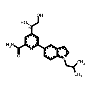 CC(C)Cn1ccc2cc(-c3cc([C@H](O)CO)cc(C(N)=O)n3)ccc21